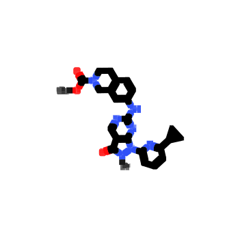 CC(C)n1c(=O)c2cnc(Nc3ccc4c(c3)CN(C(=O)OC(C)(C)C)CC4)nc2n1-c1cccc(C2CC2)n1